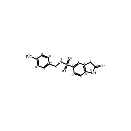 O=C1Cc2cc(S(=O)(=O)NCc3ccc(C(F)(F)F)cc3)ccc2N1